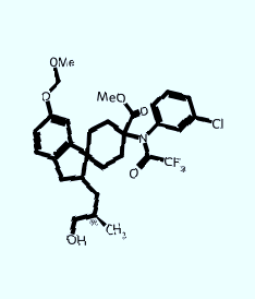 COCOc1ccc2c(c1)C1(CCC(C(=O)OC)(N(C(=O)C(F)(F)F)c3cccc(Cl)c3)CC1)C(C[C@@H](C)CO)C2